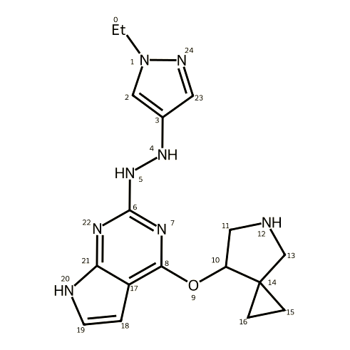 CCn1cc(NNc2nc(OC3CNCC34CC4)c3cc[nH]c3n2)cn1